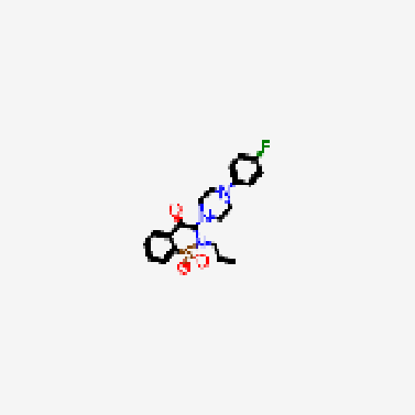 CCCN1C(N2CCN(c3ccc(F)cc3)CC2)C(=O)c2ccccc2S1(=O)=O